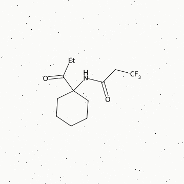 CCC(=O)C1(NC(=O)CC(F)(F)F)CCCCC1